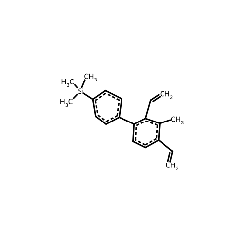 C=Cc1ccc(-c2ccc([Si](C)(C)C)cc2)c(C=C)c1C